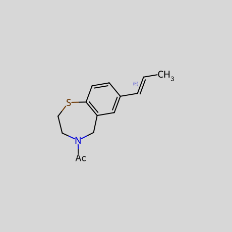 C/C=C/c1ccc2c(c1)CN(C(C)=O)CCS2